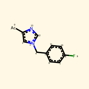 CC(=O)c1cn(Cc2ccc(F)cc2)cn1